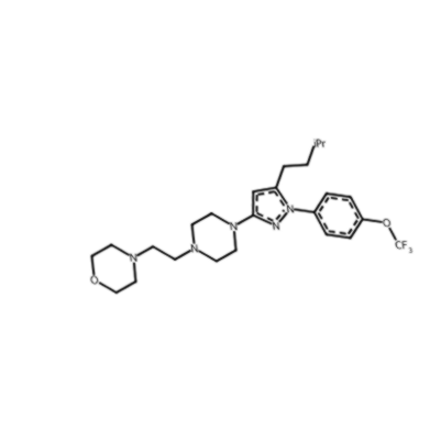 CC(C)CCc1cc(N2CCN(CCN3CCOCC3)CC2)nn1-c1ccc(OC(F)(F)F)cc1